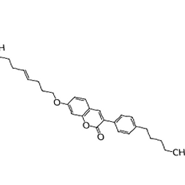 CCCCCc1ccc(-c2cc3ccc(OCCCC=CCCCO)cc3oc2=O)cc1